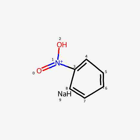 O=[N+](O)c1cc[c]cc1.[NaH]